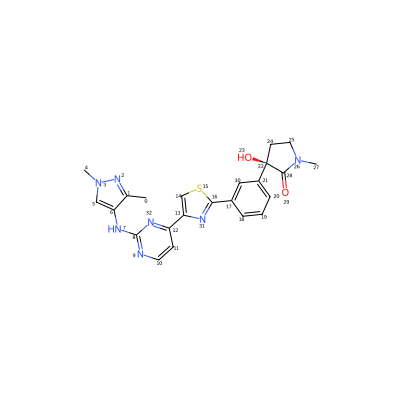 Cc1nn(C)cc1Nc1nccc(-c2csc(-c3cccc([C@]4(O)CCN(C)C4=O)c3)n2)n1